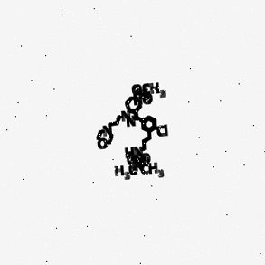 CN(C)S(=O)(=O)NCCCc1cc(-c2nn(CCCN3CCOCC3)c3c2CN(S(C)(=O)=O)CC3)ccc1Cl